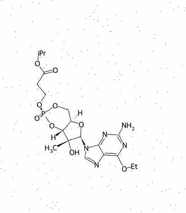 CCOc1nc(N)nc2c1ncn2[C@@H]1O[C@@H]2CO[P@](=O)(OCCC(=O)OC(C)C)O[C@H]2[C@@]1(C)O